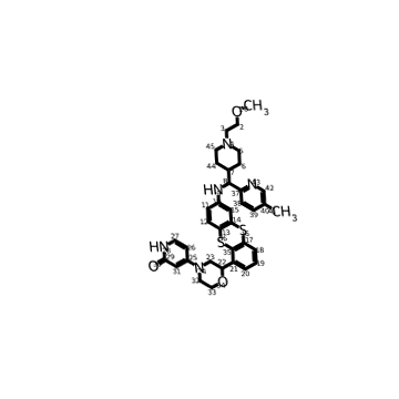 COCCN1CCC(C(Nc2ccc3c(c2)Sc2cccc(C4CN(c5cc[nH]c(=O)c5)CCO4)c2S3)c2ccc(C)cn2)CC1